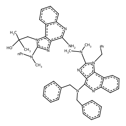 CC(C)Cn1c(N(C)C)nc2c(N(Cc3ccccc3)Cc3ccccc3)nc3ccccc3c21.CCCN(C)c1nc2c(N)nc3ccccc3c2n1CC(C)(C)O